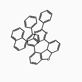 C1=CC2Oc3cccc(-c4ccc(-c5ccccc5)cc4)c3C2C(c2nc(-c3ccccc3)nc(-c3cccc4ccccc34)n2)=C1